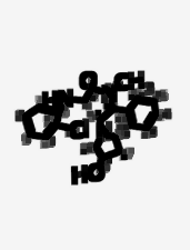 CN(C(=O)CNc1ccccc1Cl)C(CN1CCC(O)C1)c1ccccc1